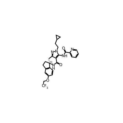 O=C(Nc1c2c(nn1CCC1CC1)C[C@]1(CCc3cc(OCC(F)(F)F)ccc31)NC2=O)c1ccccn1